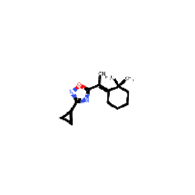 CC1(C)CCCCC1=C(C#N)c1nc(C2CC2)no1